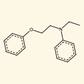 CCN(CCOc1cc[c]cc1)c1ccccc1